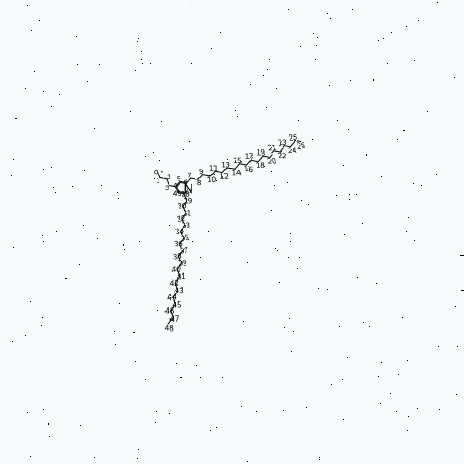 [CH2]CCCc1cc(CCCCCCCCCCCCCCCCCCCC)nc(CCCCCCCCCCCCCCCCCCCC)c1